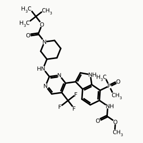 COC(=O)Nc1ccc2c(-c3nc(NC4CCCN(C(=O)OC(C)(C)C)C4)ncc3C(F)(F)F)c[nH]c2c1P(C)(C)=O